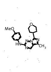 COc1ccc(Nc2ncc3c(C)nc(C4CCOCC4)n3n2)cc1